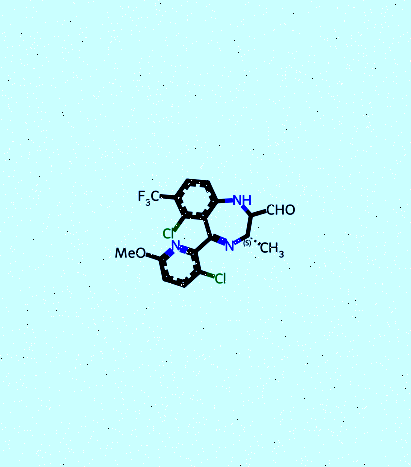 COc1ccc(Cl)c(C2=N[C@@H](C)C(C=O)Nc3ccc(C(F)(F)F)c(Cl)c32)n1